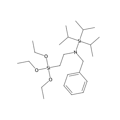 CCO[Si](CCN(Cc1ccccc1)[Si](C(C)C)(C(C)C)C(C)C)(OCC)OCC